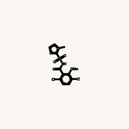 COc1c(Cl)ccc(Cl)c1C(=O)NS(=O)(=O)c1nccn1C